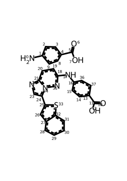 Nc1ccc(C(=O)O)cc1.O=C(O)c1ccc(Nc2ccc3ncc(-c4cc5ccccc5s4)n3n2)cc1